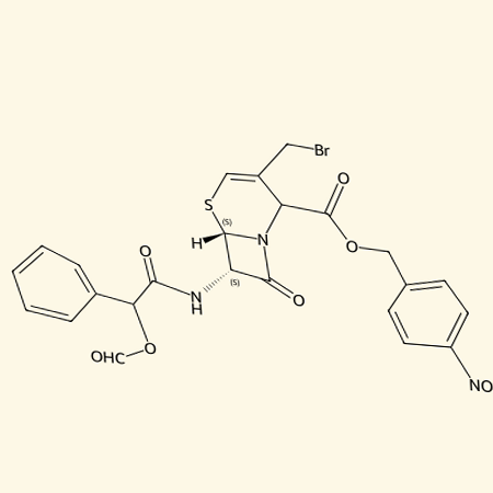 O=COC(C(=O)N[C@H]1C(=O)N2C(C(=O)OCc3ccc([N+](=O)[O-])cc3)C(CBr)=CS[C@@H]12)c1ccccc1